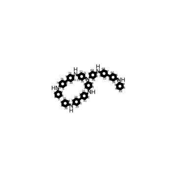 c1ccc(Nc2ccc(-c3ccc(Nc4ccc(N(c5ccc(Nc6ccc(-c7ccc(Nc8ccccc8)cc7)cc6)cc5)c5ccc(Nc6ccc(-c7ccc(Nc8ccccc8)cc7)cc6)cc5)cc4)cc3)cc2)cc1